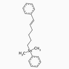 [CH3][Sn]([CH3])([CH2]CCCC=Cc1ccccc1)[c]1ccccc1